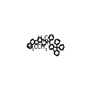 Cc1ccccc1N(c1ccc2c(c1)C(c1ccccc1)(c1ccccc1)c1ccccc1-2)c1ccc2c3c(ccc2c1)-c1ccc2ccccc2c1C3(C)C